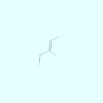 NC=C(O)CN